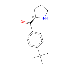 CC(C)(C)c1ccc(C(=O)[C@H]2CCCN2)cc1